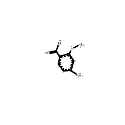 CCCCOc1cc([N+](=O)[O-])ccc1C(=O)Cl